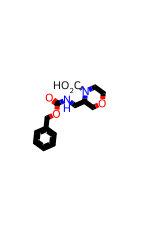 O=C(NCC1COCCN1C(=O)O)OCc1ccccc1